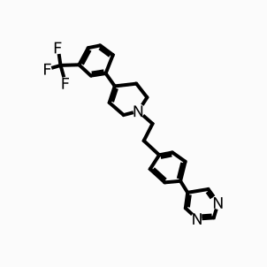 FC(F)(F)c1cccc(C2=CCN(CCc3ccc(-c4cncnc4)cc3)CC2)c1